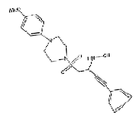 COc1ccc(N2CCN(S(=O)(=O)CC(C#Cc3ccccc3)NO)CC2)cc1